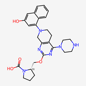 O=C(O)N1CCC[C@H]1COc1nc2c(c(N3CCNCC3)n1)CCN(c1cc(O)cc3ccccc13)C2